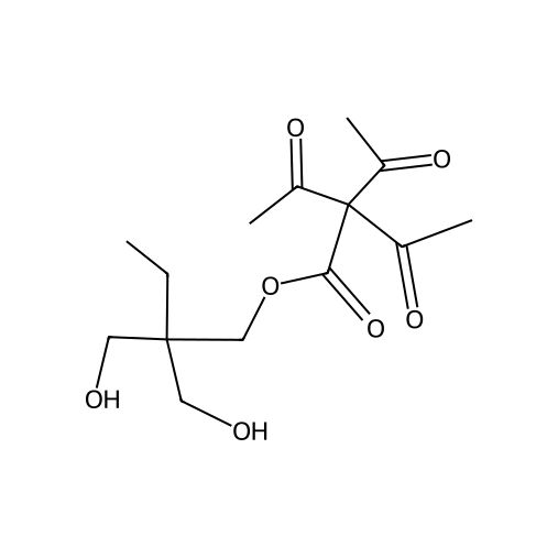 CCC(CO)(CO)COC(=O)C(C(C)=O)(C(C)=O)C(C)=O